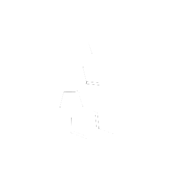 O=C(CCCl)N1CCc2ccc(F)cc21